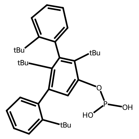 CC(C)(C)c1ccccc1-c1cc(OP(O)O)c(C(C)(C)C)c(-c2ccccc2C(C)(C)C)c1C(C)(C)C